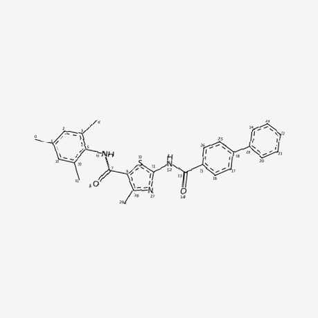 Cc1cc(C)c(NC(=O)c2sc(NC(=O)c3ccc(-c4ccccc4)cc3)nc2C)c(C)c1